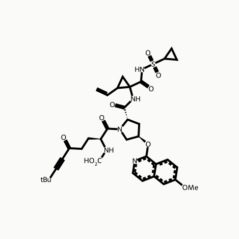 C=CC1CC1(NC(=O)[C@@H]1C[C@@H](Oc2nccc3cc(OC)ccc23)CN1C(=O)[C@H](CCC(=O)C#CC(C)(C)C)NC(=O)O)C(=O)NS(=O)(=O)C1CC1